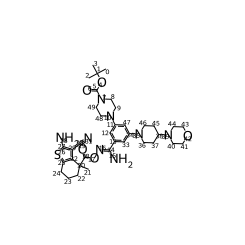 CC(C)(C)OC(=O)N1CCN(c2cc(/C(N)=N/OC(=O)C3(C)CCCc4sc(N)c(C#N)c43)cc(N3CCC(N4CCOCC4)CC3)c2)CC1